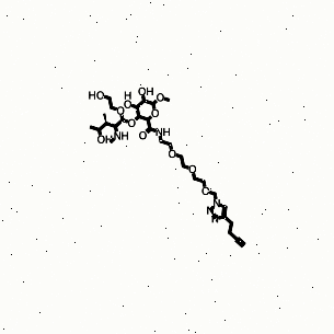 C#CCCc1cn(COCCOCCOCCNC(=O)C2OC(OC)C(O)C(O)C2OC(OCCO)C(NC)[C@H](C)C(C)O)nn1